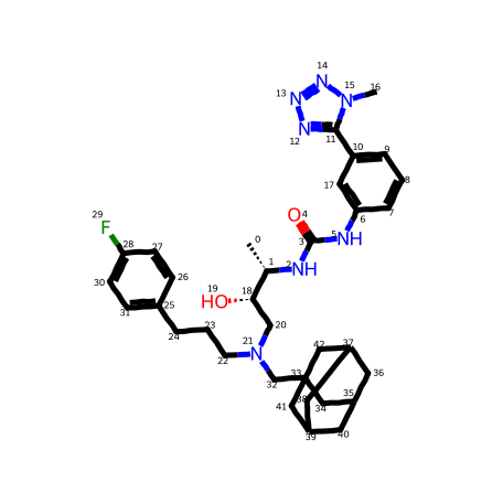 C[C@H](NC(=O)Nc1cccc(-c2nnnn2C)c1)[C@@H](O)CN(CCCc1ccc(F)cc1)CC12CC3CC(CC(C3)C1)C2